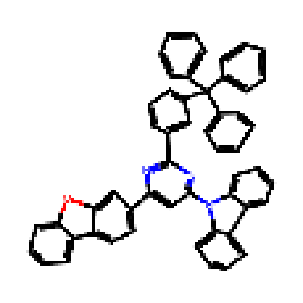 c1ccc(C(c2ccccc2)(c2ccccc2)c2cccc(-c3nc(-c4ccc5c(c4)oc4ccccc45)cc(-n4c5ccccc5c5ccccc54)n3)c2)cc1